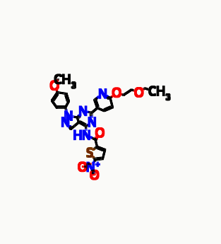 CCOCCOc1ccc(-c2nc(NC(=O)c3ccc([N+](=O)[O-])s3)c3cnn(-c4ccc(OC)cc4)c3n2)cn1